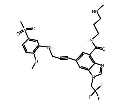 CNCCCNC(=O)c1cc(C#CCNc2cc(S(C)(=O)=O)ccc2OC)cc2c1ncn2CC(F)(F)F